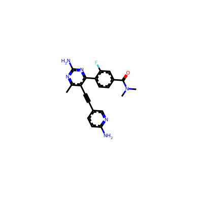 Cc1nc(N)nc(-c2ccc(C(=O)N(C)C)cc2F)c1C#Cc1ccc(N)nc1